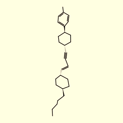 CCCCC[C@H]1CC[C@H](/C=C/C#C[C@H]2CC[C@H](c3ccc(C)cc3)CC2)CC1